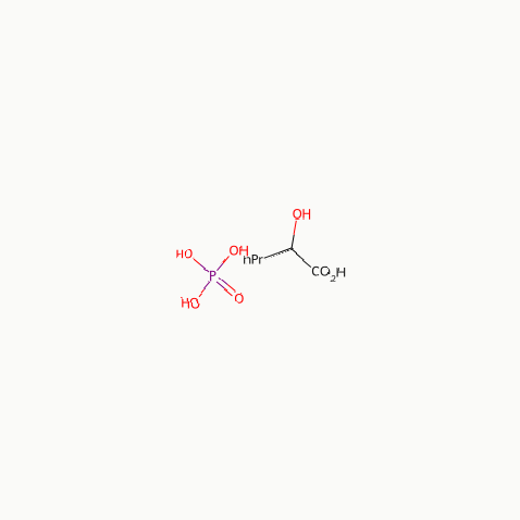 CCCC(O)C(=O)O.O=P(O)(O)O